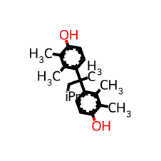 Cc1c(O)ccc(C(C)(CC(C)C)c2ccc(O)c(C)c2C)c1C